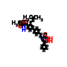 CC(C)CCc1cc(-c2ccc(CCN(C[C@H](O)c3ccccc3)C(=O)O)cc2)ccc1C(=O)NS(C)(=O)=O